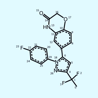 CC(F)(F)c1cc(-c2ccc3c(c2)NC(=O)CO3)n(-c2ccc(F)cc2)n1